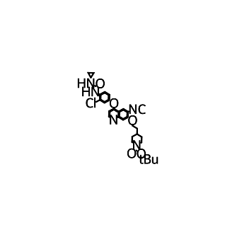 [C-]#[N+]c1cc2c(Oc3ccc(NC(=O)NC4CC4)c(Cl)c3)ccnc2cc1OCCC1CCN(C(=O)OC(C)(C)C)CC1